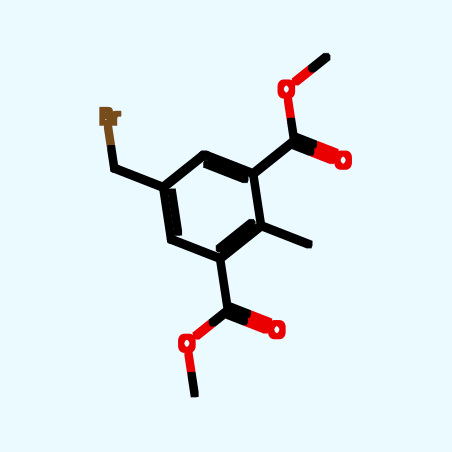 COC(=O)c1cc(CBr)cc(C(=O)OC)c1C